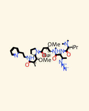 CC[C@H](C)[C@@H]([C@@H](CC(=O)N1CCC[C@H]1[C@H](OC)[C@@H](C)C(=O)NCCc1ccccn1)OC)N(C)C(=O)[C@@H](NC(=O)[C@H](C(C)C)N(C)C)C(C)N=[N+]=[N-]